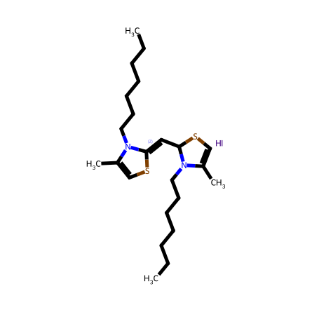 CCCCCCCN1C(C)=CS/C1=C\C1SC=C(C)N1CCCCCCC.I